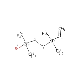 C=C[Si](C)(C)CC[Si](C)(C)Br